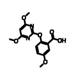 COc1ccc(Oc2nc(OC)cc(OC)n2)c(C(=O)O)c1